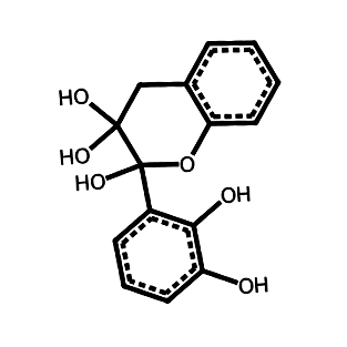 Oc1cccc(C2(O)Oc3ccccc3CC2(O)O)c1O